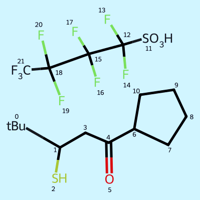 CC(C)(C)C(S)CC(=O)C1CCCC1.O=S(=O)(O)C(F)(F)C(F)(F)C(F)(F)C(F)(F)F